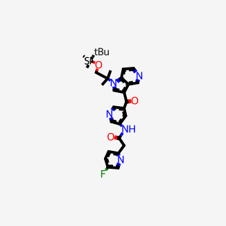 CC(C)(CO[Si](C)(C)C(C)(C)C)n1cc(C(=O)c2cncc(NC(=O)Cc3ccc(F)cn3)c2)c2cnccc21